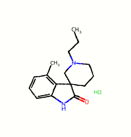 CCCN1CCCC2(C1)C(=O)Nc1cccc(C)c12.Cl